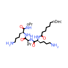 [CH2]CCNC(=O)[C@H](CCCCN)NC(=O)[C@@H](NC(=O)[C@H](CCCCN)NC(=O)CCCCCCCCCCCCCCC)C(C)C